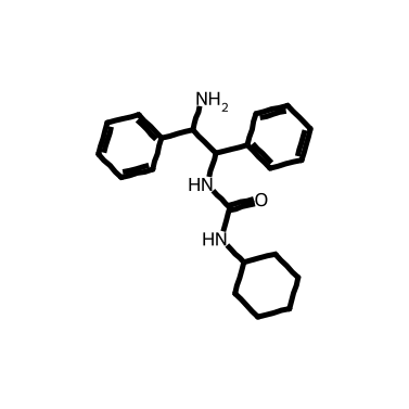 NC(c1ccccc1)C(NC(=O)NC1CCCCC1)c1ccccc1